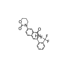 O=C1OCCCN1c1ccc2cc(-c3ccccc3C(F)(F)F)[nH]c(=O)c2c1